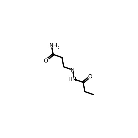 CCC(=O)N[N]CCC(N)=O